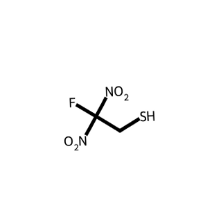 O=[N+]([O-])C(F)(CS)[N+](=O)[O-]